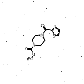 CC(C)(C)OC(=O)N1CCN(C(=O)c2nccs2)CC1